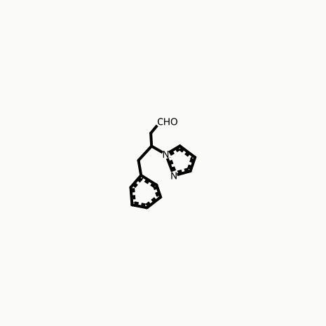 O=CCC(Cc1ccccc1)n1cccn1